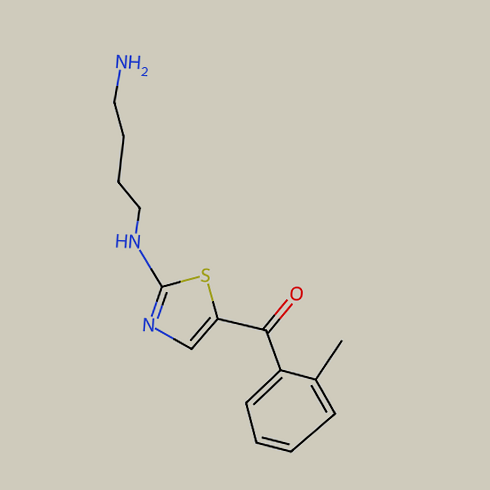 Cc1ccccc1C(=O)c1cnc(NCCCCN)s1